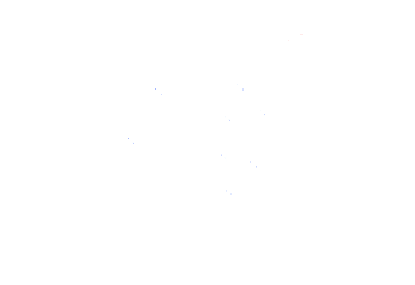 CCN(CCC(C)N1CCCC1)C(=O)[C@H]1CC[C@@H](n2c(Nc3ccc(F)cc3F)nc3cnc(N[C@H]4CC[C@H](O)CC4)nc32)CC1